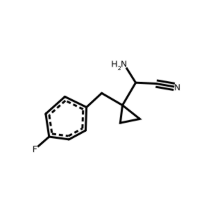 N#CC(N)C1(Cc2ccc(F)cc2)CC1